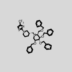 FC(F)(F)c1csc(N2CCC[C@@H](CN3C[C@H](OCc4ccccc4)[C@@H](OCc4ccccc4)[C@H](OCc4ccccc4)[C@@H]3COCc3ccccc3)C2)n1